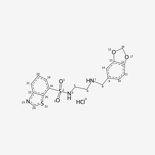 Cl.O=S(=O)(NCCNCc1ccc2c(c1)OCO2)c1cccc2ncsc12